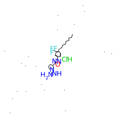 CCCCCCCCCc1ccc(-c2noc(C3CCCN(C(=N)N)C3)n2)cc1C(F)(F)F.Cl